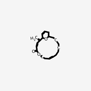 C=C1C=CC(=O)OCCC=CCCCCCCC2CC=CC1O2